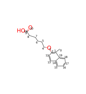 Cc1c(OCCCCCC(=O)O)ccc2ccccc12